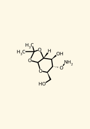 CC1(C)OC2O[C@H](CO)[C@@H](ON)[C@H](O)[C@H]2O1